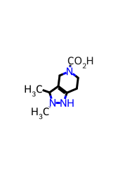 CC1C2=C(CCN(C(=O)O)C2)NN1C